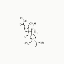 CCNC(=O)C1C2CC(C1C(=O)O)C1(C2)C(=O)C2(CC3CC2C(C(=O)O)C3C(=O)NC)C1(C)C